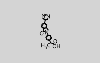 CC(C(=O)O)c1ccc(N2Cc3cc(-c4cncnc4)ccc3C2=O)cc1